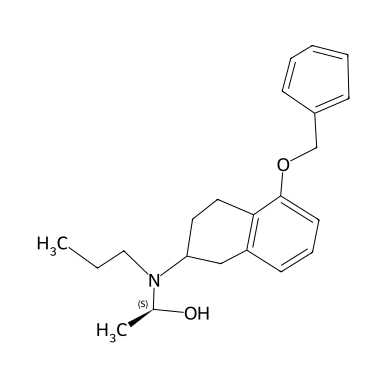 CCCN(C1CCc2c(cccc2OCc2ccccc2)C1)[C@H](C)O